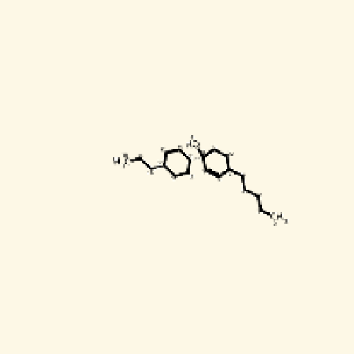 CCCCCC1C=CC(O)([C@H]2CC[C@H](CCC)CC2)CC1